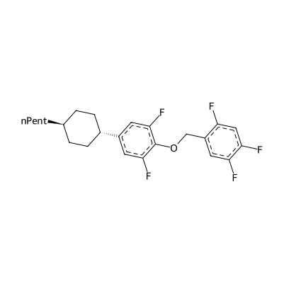 CCCCC[C@H]1CC[C@H](c2cc(F)c(OCc3cc(F)c(F)cc3F)c(F)c2)CC1